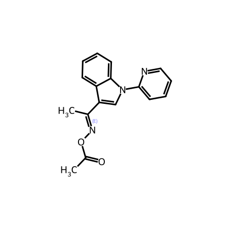 CC(=O)O/N=C(\C)c1cn(-c2ccccn2)c2ccccc12